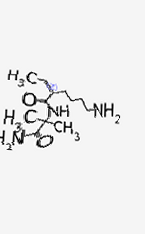 C/C=C(/CCCCN)C(=O)NC(C)(C)C(N)=O